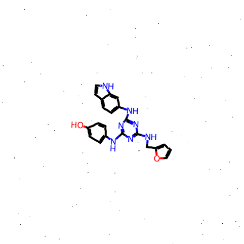 Oc1ccc(Nc2nc(NCc3ccco3)nc(Nc3ccc4cc[nH]c4c3)n2)cc1